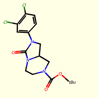 CC(C)(C)OC(=O)N1CCN2C(=O)N(c3ccc(Cl)c(Cl)c3)CC2C1